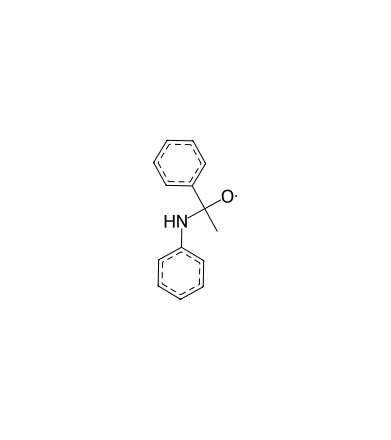 CC([O])(Nc1ccccc1)c1ccccc1